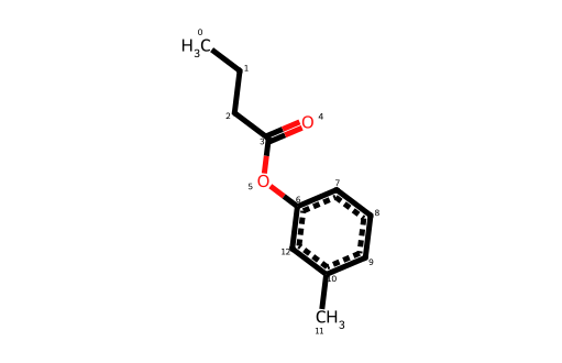 CCCC(=O)Oc1cccc(C)c1